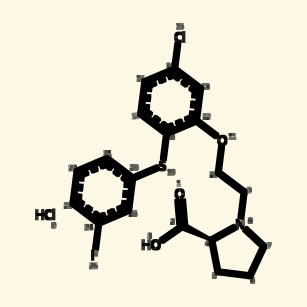 Cl.O=C(O)[C@@H]1CCCN1CCOc1cc(Cl)ccc1Sc1cccc(F)c1